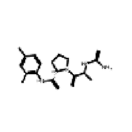 C=C(N)PC(C)C(=C)N1CCC[C@H]1C(=C)Nc1ccc(C)cc1C